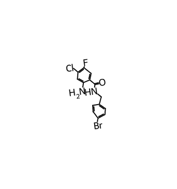 Nc1cc(Cl)c(F)cc1C(=O)NCc1ccc(Br)cc1